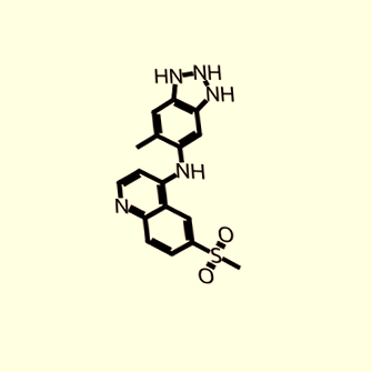 Cc1cc2c(cc1Nc1ccnc3ccc(S(C)(=O)=O)cc13)NNN2